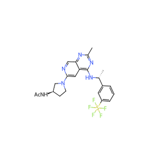 CC(=O)N[C@@H]1CCN(c2cc3c(N[C@H](C)c4cccc(S(F)(F)(F)(F)F)c4)nc(C)nc3cn2)C1